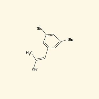 C[CH]CC(C)=Cc1cc(C(C)(C)C)cc(C(C)(C)C)c1